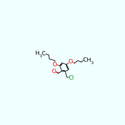 CCCCOc1cc(CCl)c(C=O)c(OCCCC)c1